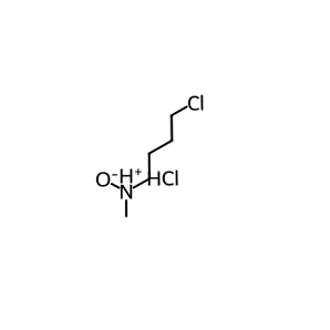 C[NH+]([O-])CCCCCl.Cl